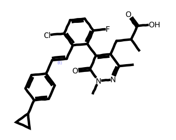 Cc1nn(C)c(=O)c(-c2c(F)ccc(Cl)c2/C=C/c2ccc(C3CC3)cc2)c1CC(C)C(=O)O